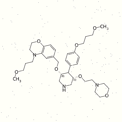 COCCCOc1ccc(C2[C@@H](OCc3ccc4c(c3)N(CCCOC)CCO4)CNC[C@H]2OCCN2CCOCC2)cc1